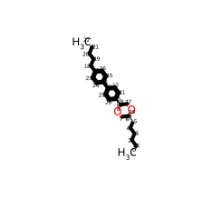 CCCCCC[C@@H]1CO[C@@H](c2ccc(-c3ccc(CCCCC)cc3)cc2)CO1